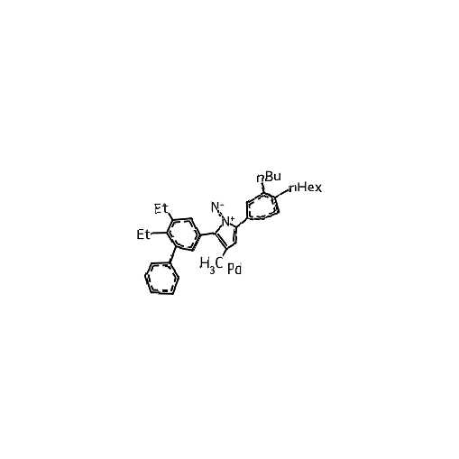 CCCCCCc1ccc(C2=CC(C)=C(c3cc(CC)c(CC)c(-c4ccccc4)c3)[N+]2=[N-])cc1CCCC.[Pd]